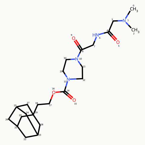 CN(C)CC(=O)NCC(=O)N1CCN(C(=O)OCCC23CC4CC(CC(C4)C2)C3)CC1